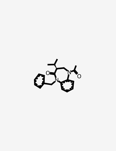 CC(=O)N1C[C@H](C(C)C)C(=O)N(Cc2ccccc2)c2ccccc21